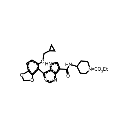 CCOC(=O)N1CCC(NC(=O)c2c[nH]c3c(-c4c(OCC5CC5)ccc5c4OCO5)ncnc23)CC1